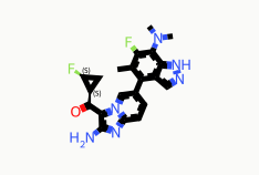 Cc1c(F)c(N(C)C)c2[nH]ncc2c1-c1ccc2nc(N)c(C(=O)[C@@H]3C[C@@H]3F)n2c1